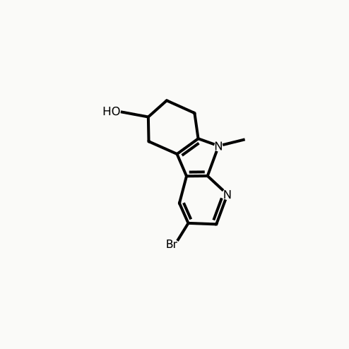 Cn1c2c(c3cc(Br)cnc31)CC(O)CC2